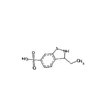 CCC1NSc2cc(S(=O)(=O)O)ccc21